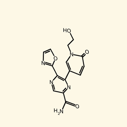 NC(=O)c1cnc(-c2ncco2)c(-c2ccc(=O)n(CCO)c2)n1